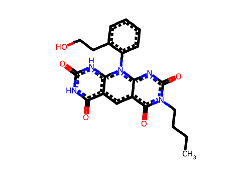 CCCCn1c(=O)nc2n(-c3ccccc3CCO)c3[nH]c(=O)[nH]c(=O)c3cc-2c1=O